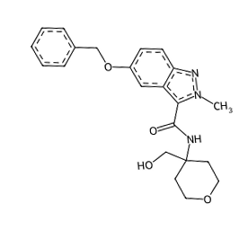 Cn1nc2ccc(OCc3ccccc3)cc2c1C(=O)NC1(CO)CCOCC1